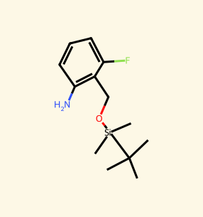 CC(C)(C)[Si](C)(C)OCc1c(N)cccc1F